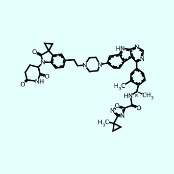 Cc1cc(-c2ncnc3[nH]c4cc(N5CCN(CCc6ccc7c(c6)C6(CC6)C(=O)N7C6CCC(=O)NC6=O)CC5)ccc4c23)ccc1[C@@H](C)NC(=O)c1nc(C2(C)CC2)no1